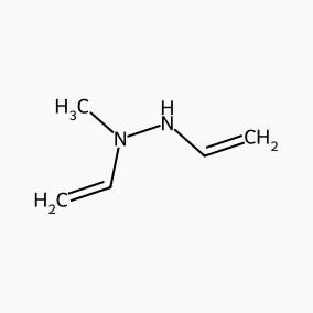 C=CNN(C)C=C